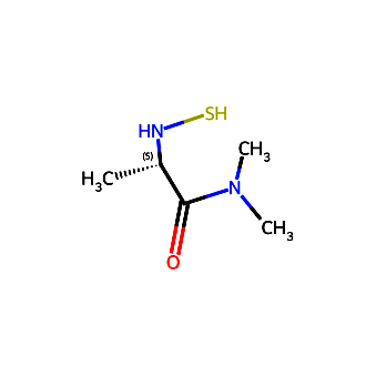 C[C@H](NS)C(=O)N(C)C